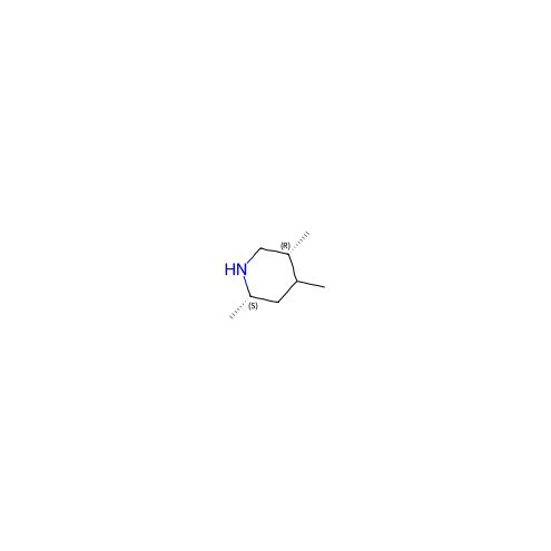 CC1C[C@H](C)NC[C@@H]1C